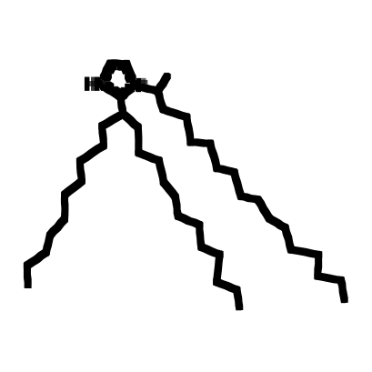 CCCCCCCCCCCCCCCC(C)[n+]1cc[nH]c1C(CCCCCCCCCC)CCCCCCCCCCCC